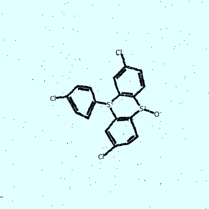 [O-][S+]1c2ccc(Cl)cc2[S+](c2ccc(Cl)cc2)c2cc(Cl)ccc21